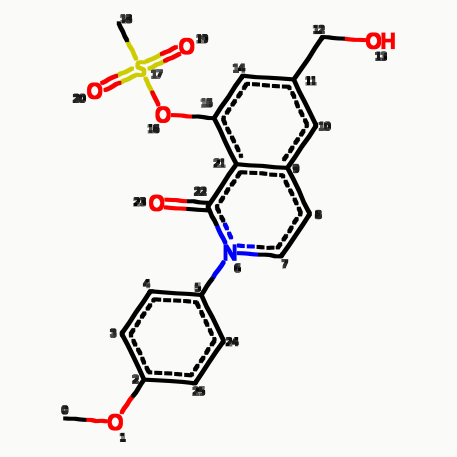 COc1ccc(-n2ccc3cc(CO)cc(OS(C)(=O)=O)c3c2=O)cc1